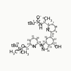 C[C@H](N[S@+]([O-])C(C)(C)C)c1cccc(-c2cc(O)c3cnn(-c4cccc(CO[Si](C)(C)C(C)(C)C)n4)c3c2)n1